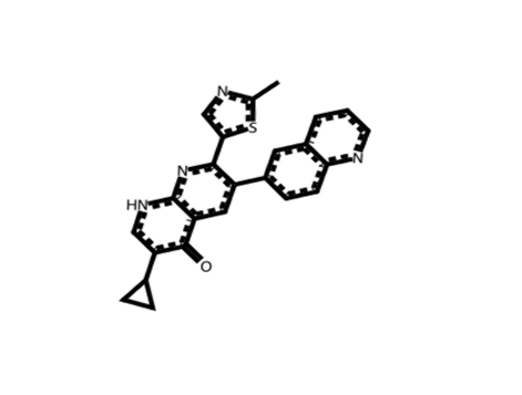 Cc1ncc(-c2nc3[nH]cc(C4CC4)c(=O)c3cc2-c2ccc3ncccc3c2)s1